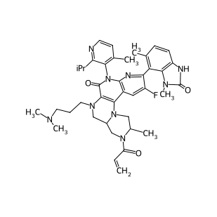 C=CC(=O)N1CC2CN(CCCN(C)C)c3c(c4cc(F)c(-c5c(C)ccc6[nH]c(=O)n(C)c56)nc4n(-c4c(C)ccnc4C(C)C)c3=O)N2CC1C